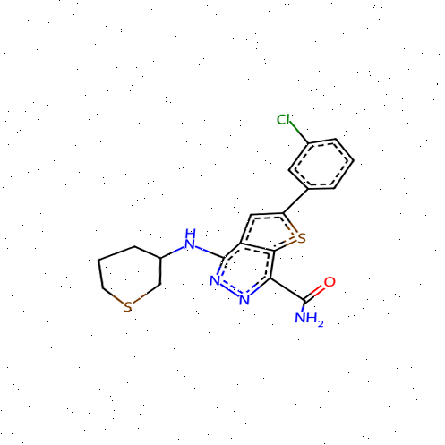 NC(=O)c1nnc(NC2CCCSC2)c2cc(-c3cccc(Cl)c3)sc12